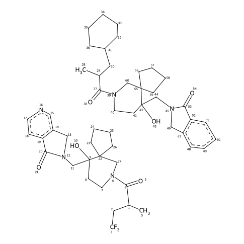 CC(CC(F)(F)F)C(=O)N1CCC(O)(CN2Cc3cnccc3C2=O)C2(CCCC2)C1.CC(CC1CCCCC1)C(=O)N1CCC(O)(CN2Cc3ccccc3C2=O)C2(CCCC2)C1